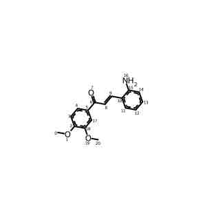 COc1ccc(C(=O)/C=C/c2ccccc2N)cc1OC